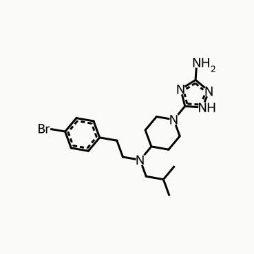 CC(C)CN(CCc1ccc(Br)cc1)C1CCN(c2nc(N)n[nH]2)CC1